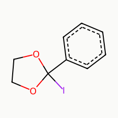 IC1(c2ccccc2)OCCO1